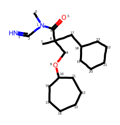 CN(C=N)C(=O)C(C)(COC1CCCCCC1)CC1CCCCC1